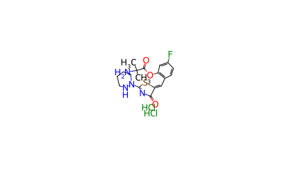 CC(C)(N)C(=O)Oc1cc(F)ccc1C=C1SC(N2CCCCN2)=NC1=O.Cl.Cl